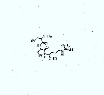 CC(=O)NC(CC(C)C)C(=O)NC(CC(C)C)C(=O)NC(C=O)CCCNC(=N)N